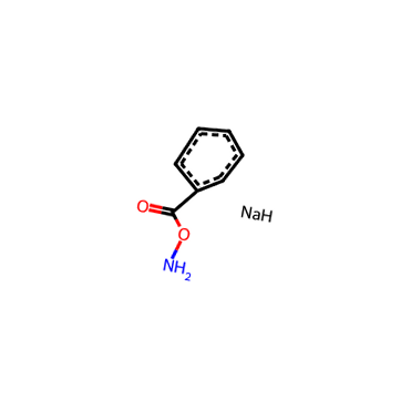 NOC(=O)c1ccccc1.[NaH]